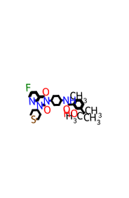 Cc1ccc(C(C)(C)C)c(O)c1C(=O)NC1CCC(n2c(=O)c3cc(F)cnc3n(C3CCSCC3)c2=O)CC1